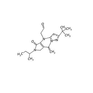 C=C1C2=C(C(=O)N(C(C)CC)C2)N(CC=O)c2cc(C(C)(C)C)nn21